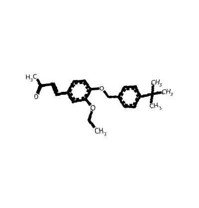 CCOc1cc(/C=C/C(C)=O)ccc1OCc1ccc(C(C)(C)C)cc1